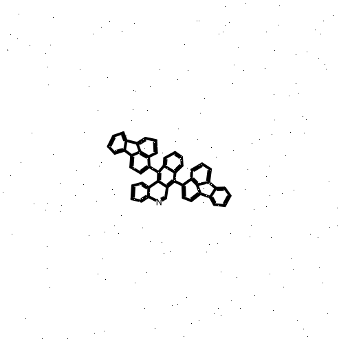 c1ccc2c(c1)-c1cccc3c(-c4c5ccccc5c(-c5ccc6c7c(cccc57)-c5ccccc5-6)c5c4cnc4ccccc45)ccc-2c13